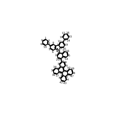 c1ccc(-c2ccc3c(c2)c2cc(-c4ccccc4)ccc2n3-c2ccc(-c3ccc4c(c3)c3ccccc3c3c5ccccc5c5ccccc5c43)c3ccccc23)cc1